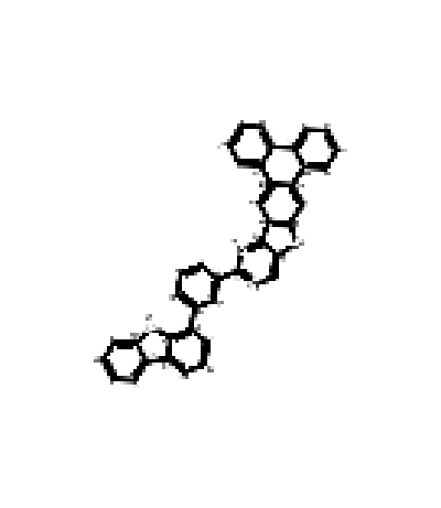 c1cc(-c2ncc3oc4cc5c6ccccc6c6ccccc6c5cc4c3n2)cc(-c2cccc3c2oc2ccccc23)c1